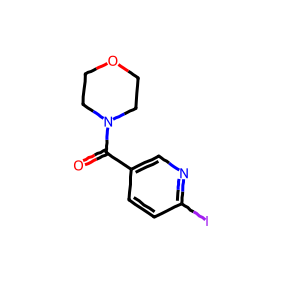 O=C(c1ccc(I)nc1)N1CCOCC1